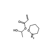 C1CC[SiH2]OC1.C=CC(=O)OC(C)O